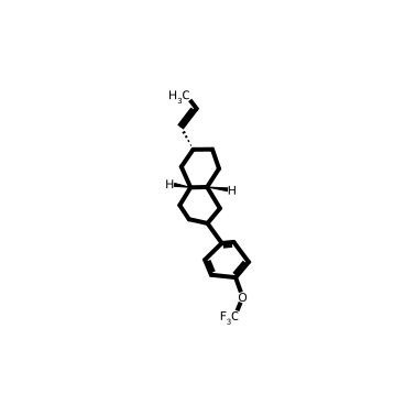 CC=C[C@@H]1CC[C@@H]2CC(c3ccc(OC(F)(F)F)cc3)CC[C@@H]2C1